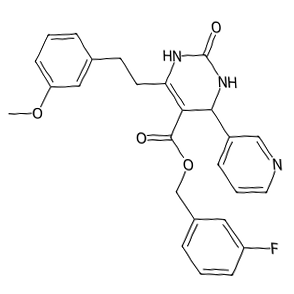 COc1cccc(CCC2=C(C(=O)OCc3cccc(F)c3)C(c3cccnc3)NC(=O)N2)c1